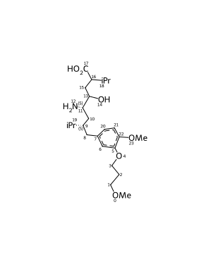 COCCCOc1cc(C[C@@H](C[C@H](N)C(O)CC(C(=O)O)C(C)C)C(C)C)ccc1OC